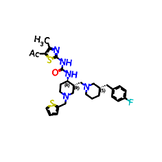 CC(=O)c1sc(NC(=O)N[C@@H]2CCN(Cc3cccs3)C[C@H]2CN2CCC[C@@H](Cc3ccc(F)cc3)C2)nc1C